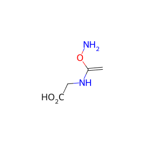 C=C(NCC(=O)O)ON